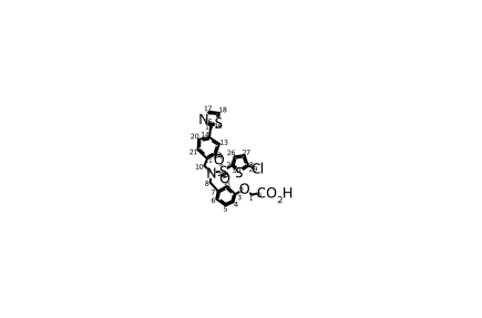 O=C(O)COc1cccc(CN(Cc2ccc(-c3nccs3)cc2)S(=O)(=O)c2ccc(Cl)s2)c1